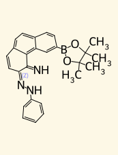 CC1(C)OB(c2ccc3ccc4c(c3c2)C(=N)/C(=N\Nc2ccccc2)C=C4)OC1(C)C